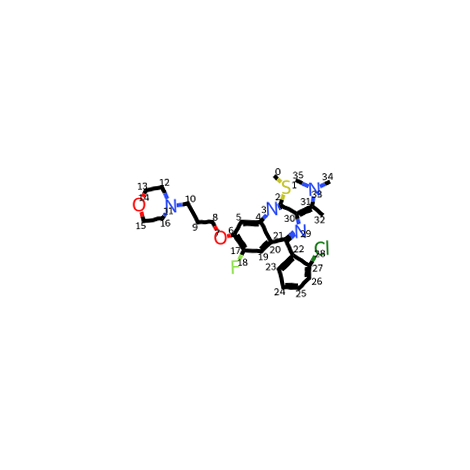 CSC1=Nc2cc(OCCCN3CCOCC3)c(F)cc2C(c2ccccc2Cl)=NC1=C(C)N(C)C